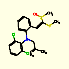 C=C(C)CN(c1ccccc1C=C(SC)[S+](C)[O-])c1c(Cl)cccc1Cl